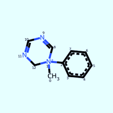 C[N+]1(c2ccccc2)C=NC=NC1